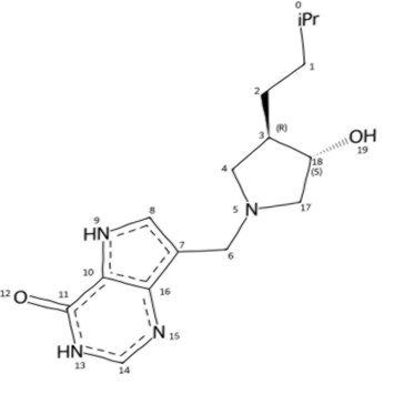 CC(C)CC[C@@H]1CN(Cc2c[nH]c3c(=O)[nH]cnc23)C[C@H]1O